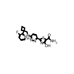 NC(=O)c1sc(-c2ccc(NCC3(c4ncccc4F)CCC3)nn2)nc1O